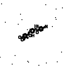 Cc1c([C@@H](O)CN2CCC(NC(=O)c3ccc(C#N)cc3F)CC2)ccc2c1COC2=O